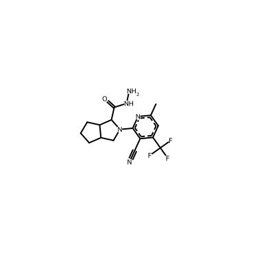 Cc1cc(C(F)(F)F)c(C#N)c(N2CC3CCCC3C2C(=O)NN)n1